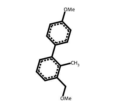 COCc1cccc(-c2ccc(OC)cc2)c1C